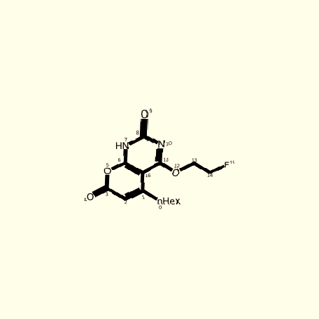 CCCCCCc1cc(=O)oc2[nH]c(=O)nc(OCCF)c12